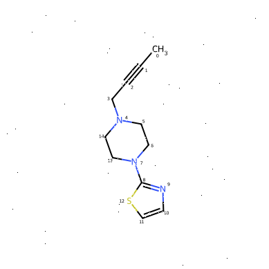 CC#CCN1CCN(c2nccs2)CC1